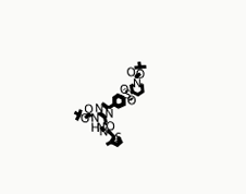 Cc1ccsc1-c1nnc(-c2nc(-c3ccc(S(=O)(=O)C4CCCN(C(=O)OC(C)(C)C)C4)cc3)cnc2NC(=O)OC(C)(C)C)o1